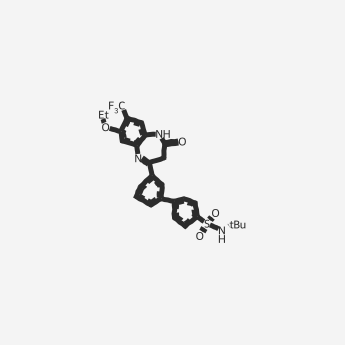 CCOc1cc2c(cc1C(F)(F)F)NC(=O)CC(c1cccc(-c3ccc(S(=O)(=O)NC(C)(C)C)cc3)c1)=N2